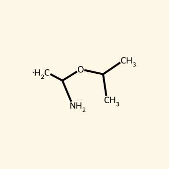 [CH2]C(N)OC(C)C